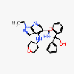 CCn1ncc2c(NC3CCOCC3)c(C(=O)NC(CO)(c3ccccc3)c3ccccc3)cnc21